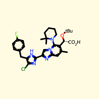 Cc1cc2nc(-c3nc(Cl)c(Cc4ccc(F)cc4)[nH]3)cn2c(N2CCCCC2(C)C)c1[C@H](OC(C)(C)C)C(=O)O